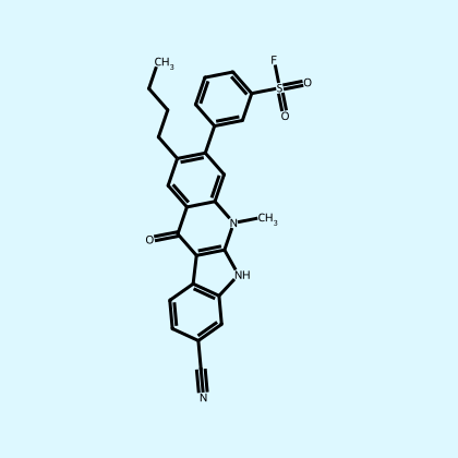 CCCCc1cc2c(=O)c3c4ccc(C#N)cc4[nH]c3n(C)c2cc1-c1cccc(S(=O)(=O)F)c1